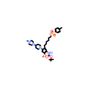 COc1cc(N2CCC(N3CCN(C)CC3)CC2)c(CCCCCCOS(=O)(=O)c2ccc(C)cc2)cc1NC(=O)OC(C)(C)C